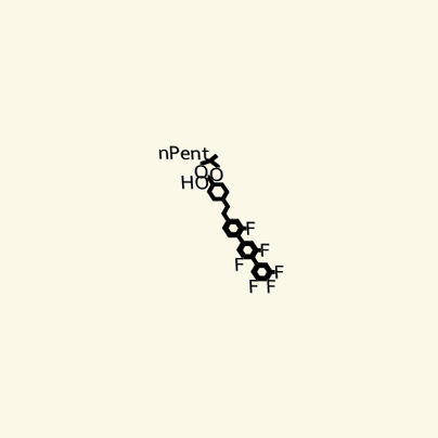 CCCCCC1(C)COC(O)(C2CCC(CCc3ccc(-c4cc(F)c(-c5cc(F)c(F)c(F)c5)c(F)c4)c(F)c3)CC2)OC1